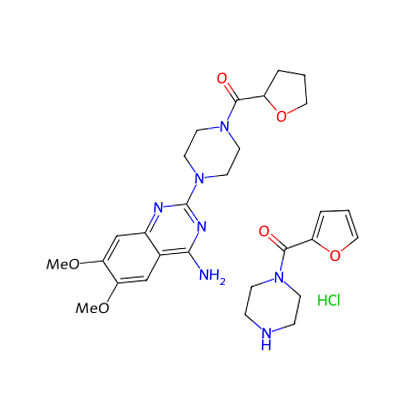 COc1cc2nc(N3CCN(C(=O)C4CCCO4)CC3)nc(N)c2cc1OC.Cl.O=C(c1ccco1)N1CCNCC1